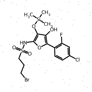 C[Si](C)(C)Oc1c(NS(=O)(=O)CCCBr)oc(-c2ccc(Cl)cc2F)c1O